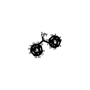 CCCC([C]12[CH]3[CH]4[CH]5[CH]1[Fe]45321678[CH]2[CH]1[CH]6[CH]7[CH]28)[C]12[CH]3[CH]4[CH]5[CH]1[Fe]45321678[CH]2[CH]1[CH]6[CH]7[CH]28